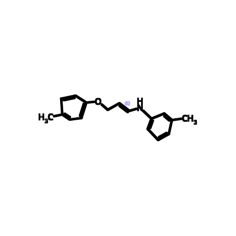 Cc1ccc(OC/C=C/Nc2cccc(C)c2)cc1